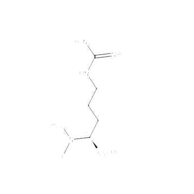 CN(I)[C@@H](CCCNC(=N)N)C(=O)O